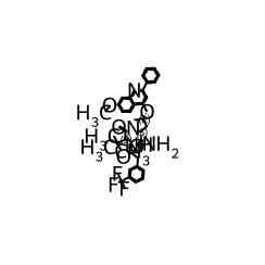 COc1ccc2c(O[C@@H]3C[C@@H](C(N)=O)N(C(=O)[C@@H](NC(=O)Cc4cccc(C(F)(F)F)c4)C(C)(C)C)C3)cc(-c3ccccc3)nc2c1